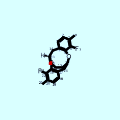 Cc1ccc2c(c1F)OC1CCC[C@H](C2)Oc2c(ccc(C)c2F)C1